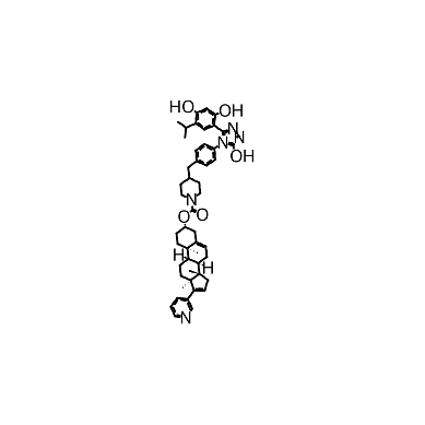 CC(C)c1cc(-c2nnc(O)n2-c2ccc(CC3CCN(C(=O)O[C@H]4CC[C@@]5(C)C(=CC[C@@H]6[C@@H]5CC[C@]5(C)C(c7cccnc7)=CC[C@@]65C)C4)CC3)cc2)c(O)cc1O